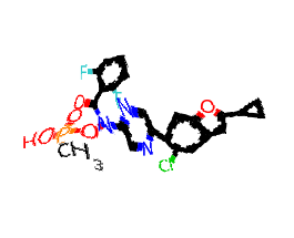 CP(=O)(O)ON(C(=O)c1c(F)cccc1F)c1cnc(-c2cc3oc(C4CC4)cc3cc2Cl)cn1